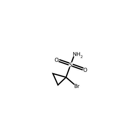 NS(=O)(=O)C1(Br)CC1